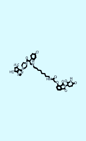 C[C@@H]1C[C@@H](O)c2ncnc(N3CCN(C(=O)C(CNCCCCCCCCNC(=O)COc4cccc5c4C(=O)N(C4CCC(=O)NC4=O)C5=O)c4ccc(Cl)cc4)CC3)c21